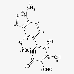 CCCCOc1c(-c2[nH]c(=O)c(C=O)c(O)c2CC)ccc2c1ccn2C